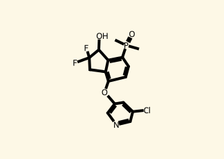 CP(C)(=O)c1ccc(Oc2cncc(Cl)c2)c2c1C(O)C(F)(F)C2